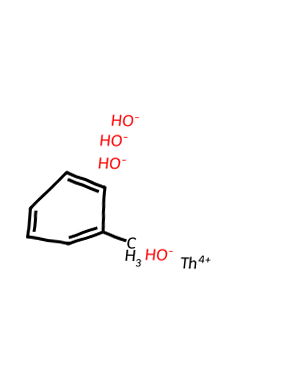 Cc1ccccc1.[OH-].[OH-].[OH-].[OH-].[Th+4]